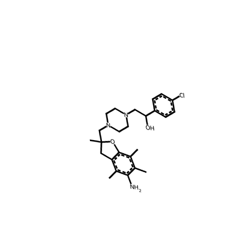 Cc1c(C)c2c(c(C)c1N)CC(C)(CN1CCN(CC(O)c3ccc(Cl)cc3)CC1)O2